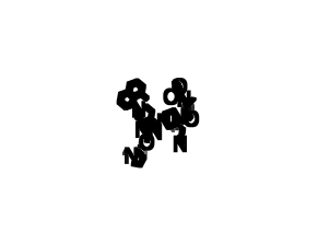 COC(=O)N1C[C@H]1C(=O)N1CCN(c2nc(OC[C@@H]3CCCN3C)nc3c2CCN(c2cccc4cccc(C)c24)C3)C[C@@H]1CC#N